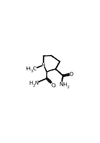 CN1CCC[C](C(N)=O)C1C(N)=O